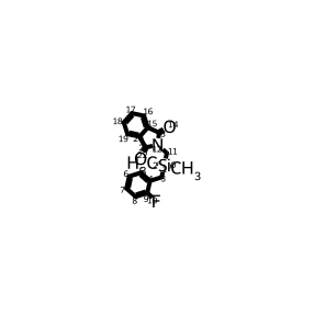 C[Si](C)(Cc1ccccc1F)CN1C(=O)c2ccccc2C1=O